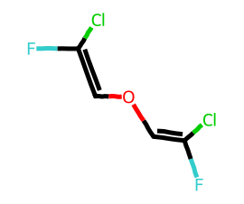 FC(Cl)=COC=C(F)Cl